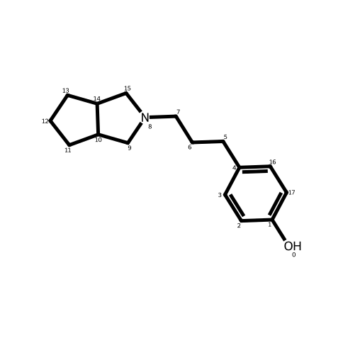 Oc1ccc(CCCN2CC3CCCC3C2)cc1